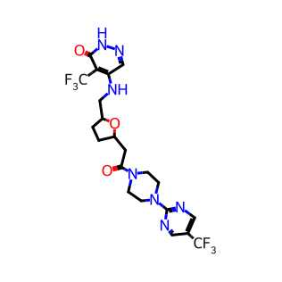 O=C(CC1CCC(CNc2cn[nH]c(=O)c2C(F)(F)F)O1)N1CCN(c2ncc(C(F)(F)F)cn2)CC1